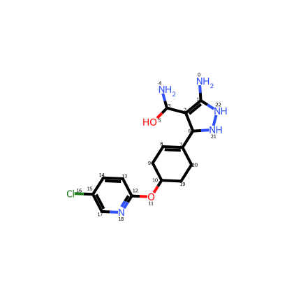 NC1=C(C(N)O)C(C2=CCC(Oc3ccc(Cl)cn3)CC2)NN1